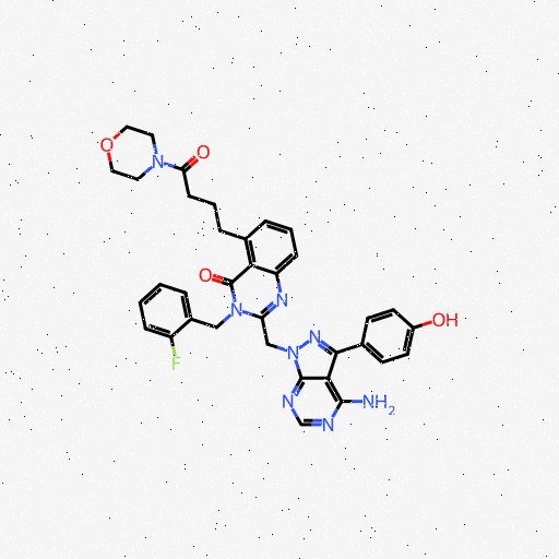 Nc1ncnc2c1c(-c1ccc(O)cc1)nn2Cc1nc2cccc(CCCC(=O)N3CCOCC3)c2c(=O)n1Cc1ccccc1F